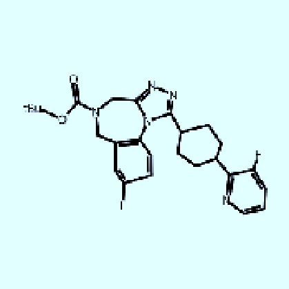 CC(C)(C)OC(=O)N1Cc2cc(F)ccc2-n2c(nnc2C2CCC(c3ncccc3F)CC2)C1